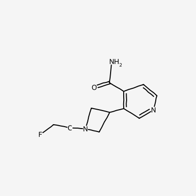 NC(=O)c1ccncc1C1CN(CCF)C1